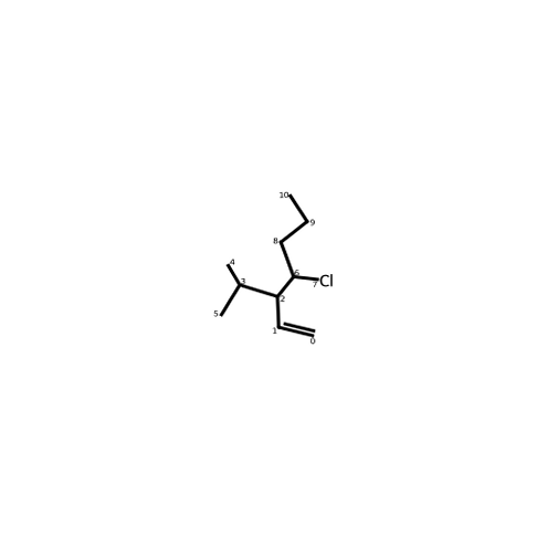 C=CC(C(C)C)C(Cl)CCC